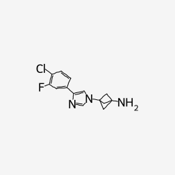 NC12CC(n3cnc(-c4ccc(Cl)c(F)c4)c3)(C1)C2